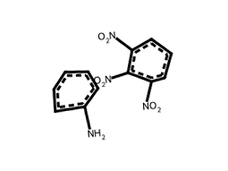 Nc1ccccc1.O=[N+]([O-])c1cccc([N+](=O)[O-])c1[N+](=O)[O-]